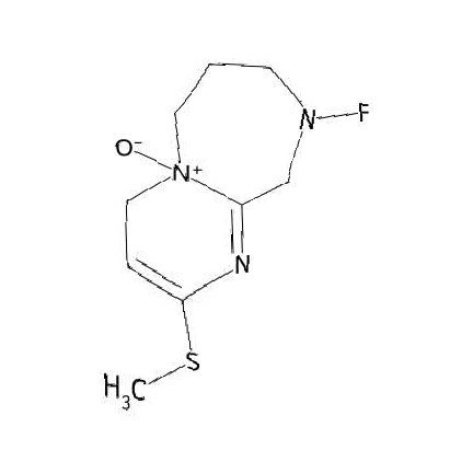 CSC1=CC[N+]2([O-])CCCN(F)CC2=N1